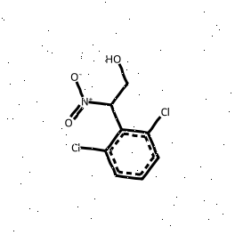 O=[N+]([O-])C(CO)c1c(Cl)cccc1Cl